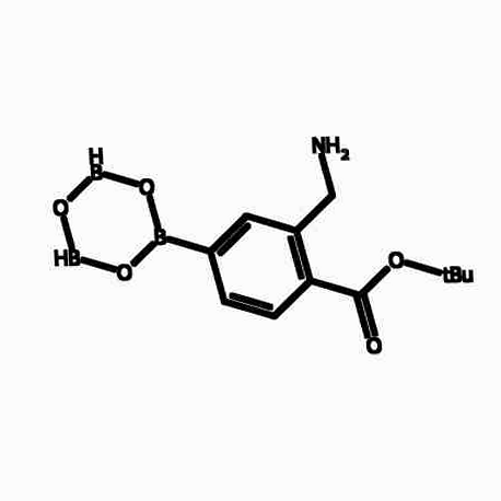 CC(C)(C)OC(=O)c1ccc(B2OBOBO2)cc1CN